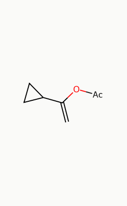 C=C(OC(C)=O)C1CC1